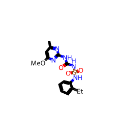 CCc1ccccc1NS(=O)(=O)NC(=O)Nc1nc(C)cc(OC)n1